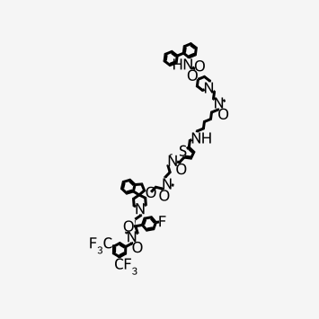 CN(CCN1CCC(OC(=O)Nc2ccccc2-c2ccccc2)CC1)C(=O)CCCCCNCc1ccc(C(=O)N(C)CCCN(C)C(=O)CO[C@H]2Cc3ccccc3C23CCN(CC[C@]2(c4ccc(F)cc4)CN(C(=O)c4cc(C(F)(F)F)cc(C(F)(F)F)c4)CO2)CC3)s1